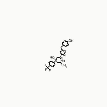 C[C@H]1CC(O)(c2ccc(C(F)(F)F)cc2)C[C@@H](c2cn(Cc3ccc(O)nc3)nn2)N1